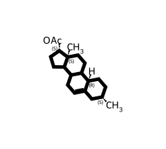 CC(=O)O[C@H]1CCC2C3CC=C4C[C@@H](C)CC[C@@H]4C3CC[C@@]21C